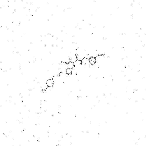 COc1cccc(CNC(=O)c2nc3scc(COCC4CCC(N)CC4)c3c(=O)[nH]2)c1